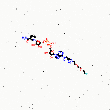 NC(=O)c1ccc[n+]([C@@H]2O[C@H](COP(=O)(O)OP(=O)(O)OC[C@H]3O[C@@H](n4cnc5c(NCc6cn(CCOCCOCCF)nn6)ncnc54)[C@H](O)[C@@H]3O)[C@@H](O)[C@H]2O)c1